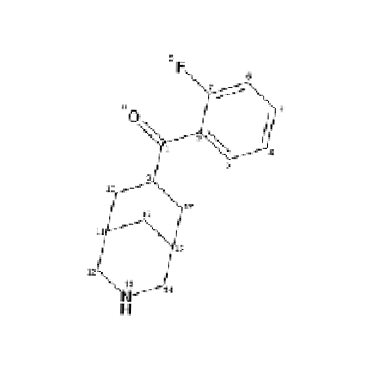 O=C(c1ccccc1F)C1CC2CNCC(C2)C1